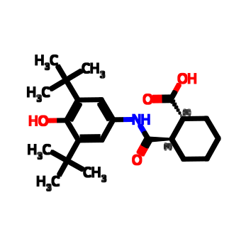 CC(C)(C)c1cc(NC(=O)[C@@H]2CCCC[C@H]2C(=O)O)cc(C(C)(C)C)c1O